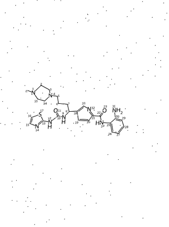 CN1CCN(CCCC(NC(=O)Nc2nccs2)c2ccc(C(=O)Nc3ccccc3N)nc2)CC1